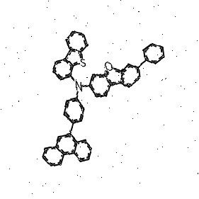 c1ccc(-c2ccc3c(c2)oc2cc(N(c4ccc(-c5cc6ccccc6c6ccccc56)cc4)c4cccc5c4sc4ccccc45)ccc23)cc1